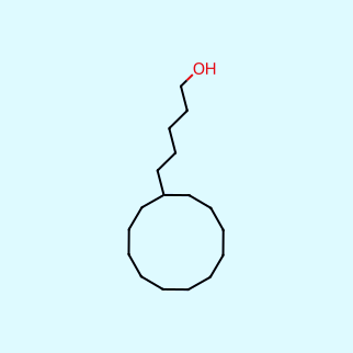 OCCCCCC1CCCCCCCCCCC1